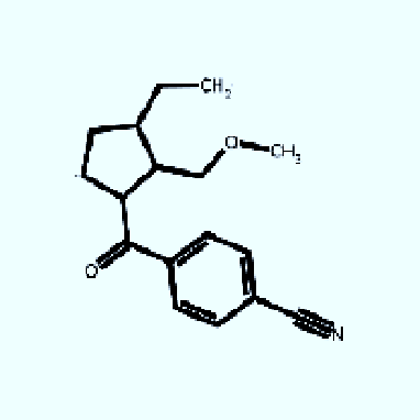 [CH2]CC1C[CH]C(C(=O)c2ccc(C#N)cc2)C1COC